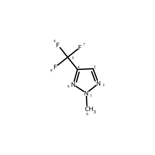 Cn1n[c]c(C(F)(F)F)n1